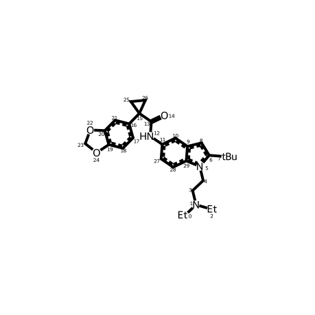 CCN(CC)CCn1c(C(C)(C)C)cc2cc(NC(=O)C3(c4ccc5c(c4)OCO5)CC3)ccc21